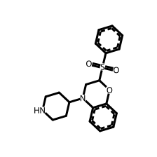 O=S(=O)(c1ccccc1)C1CN(C2CCNCC2)c2ccccc2O1